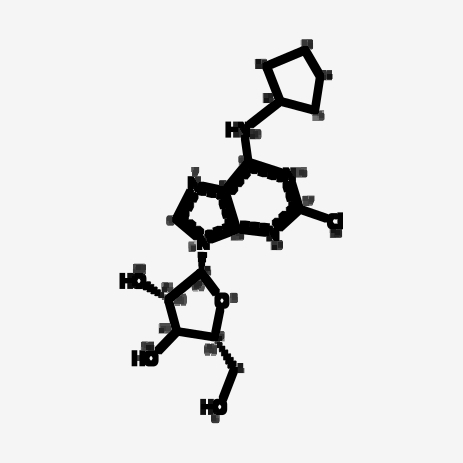 OC[C@H]1O[C@@H](n2cnc3c(NC4CCCC4)nc(Cl)nc32)[C@@H](O)C1O